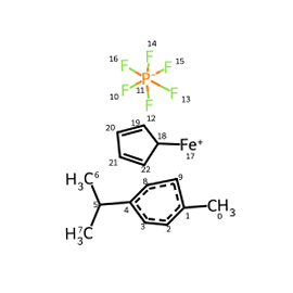 Cc1ccc(C(C)C)cc1.F[P-](F)(F)(F)(F)F.[Fe+][CH]1C=CC=C1